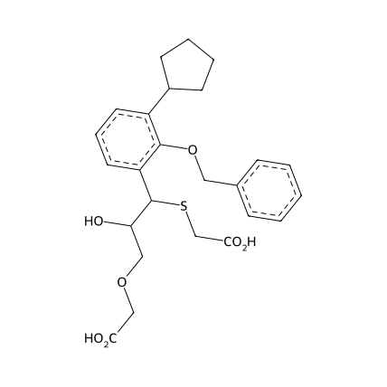 O=C(O)COCC(O)C(SCC(=O)O)c1cccc(C2CCCC2)c1OCc1ccccc1